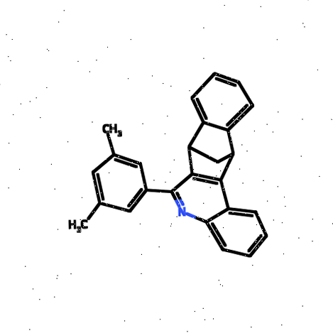 Cc1cc(C)cc(-c2nc3ccccc3c3c2C2CC3c3ccccc32)c1